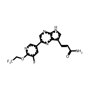 NC(=O)C=Cc1c[nH]c2ncc(-c3cnc(OCC(F)(F)F)c(F)c3)nc12